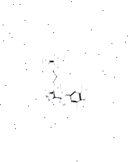 N=C(N)NCCCNc1nonc1/C(=N/O)Nc1ccc(F)c(Br)c1